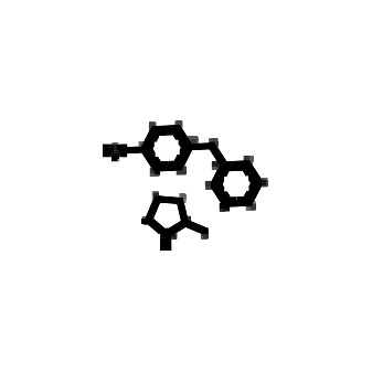 CC1CCCN1.Nc1ccc(Cc2ccccc2)cc1